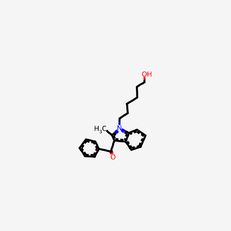 Cc1c(C(=O)c2ccccc2)c2ccccc2n1CCCCCCO